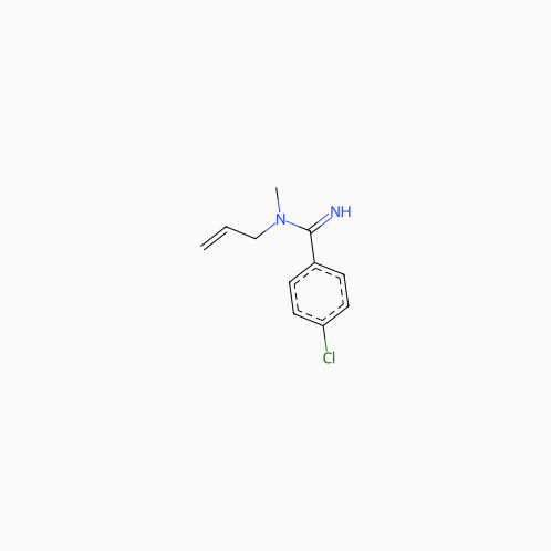 C=CCN(C)C(=N)c1ccc(Cl)cc1